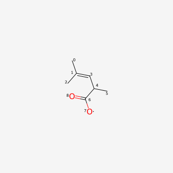 CC(C)=CC(C)C([O])=O